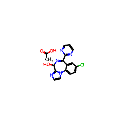 CC(=O)O.OC1N=C(c2ncccn2)c2cc(Cl)ccc2-n2ccnc21